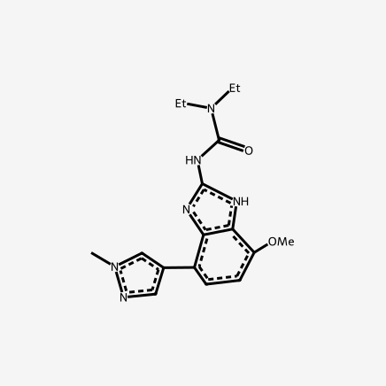 CCN(CC)C(=O)Nc1nc2c(-c3cnn(C)c3)ccc(OC)c2[nH]1